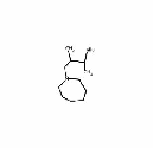 CCCCC(C)C(C)CN1CCCCCC1